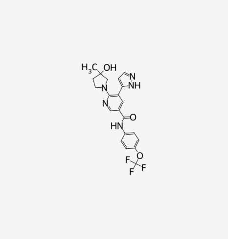 CC1(O)CCN(c2ncc(C(=O)Nc3ccc(OC(F)(F)F)cc3)cc2-c2ccn[nH]2)C1